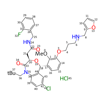 COc1c(OCCCNCc2ccco2)cccc1[C@H]1O[C@H](CC(=O)NCc2ccccc2F)C(=O)N(CC(C)(C)C)c2ccc(Cl)cc21.Cl